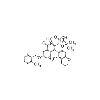 Cc1cccnc1COc1ccc2c(-c3ccc4c(c3C)CCCO4)c(C(OC(C)(C)C)C(=O)O)n(C)c(=O)c2c1